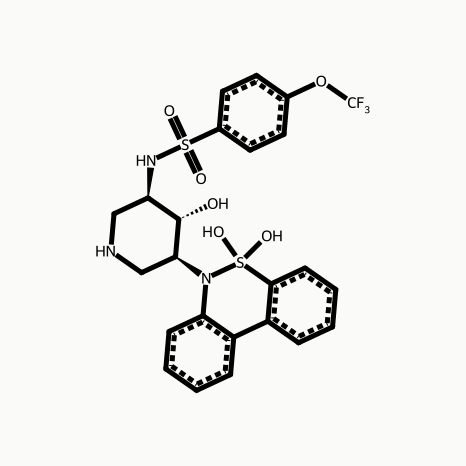 O=S(=O)(N[C@@H]1CNC[C@H](N2c3ccccc3-c3ccccc3S2(O)O)[C@H]1O)c1ccc(OC(F)(F)F)cc1